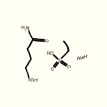 CCCCCCCCCCCC(N)=O.CCS(=O)(=O)O.[NaH]